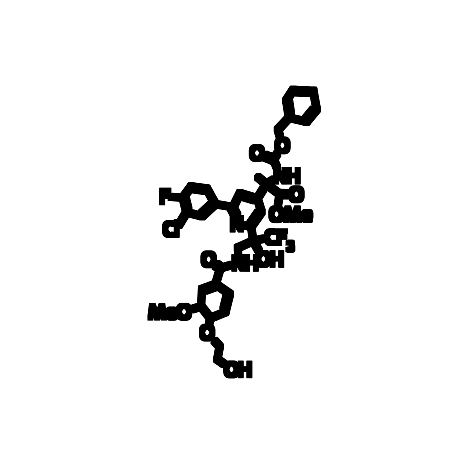 COC(=O)C(C)(NC(=O)OCc1ccccc1)c1cc(-c2ccc(F)c(Cl)c2)nc(C(O)(CNC(=O)C2=CC(OC)C(OCCO)C=C2)C(F)(F)F)c1